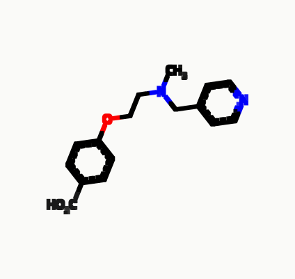 CN(CCOc1ccc(C(=O)O)cc1)Cc1ccncc1